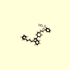 O=C(O)c1ccccc1OCCN1CCC(c2cn(CCCn3cccc3)c3ccccc23)CC1